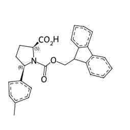 Cc1ccc([C@H]2CC[C@@H](C(=O)O)N2C(=O)OCC2c3ccccc3-c3ccccc32)cc1